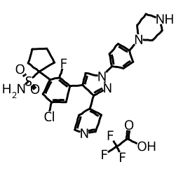 NS(=O)(=O)C1(c2cc(Cl)cc(-c3cn(-c4ccc(N5CCNCC5)cc4)nc3-c3ccncc3)c2F)CCCC1.O=C(O)C(F)(F)F